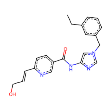 CCc1cccc(Cn2cnc(NC(=O)c3ccc(/C=C/CO)nc3)c2)c1